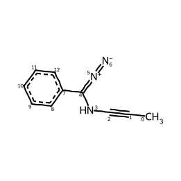 CC#CNC(=[N+]=[N-])c1ccccc1